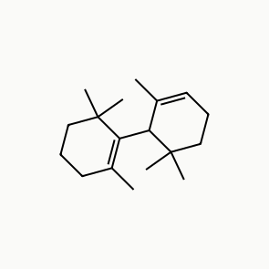 CC1=CCCC(C)(C)C1C1=C(C)CCCC1(C)C